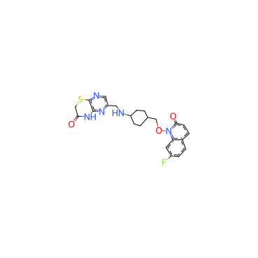 O=C1CSc2ncc(CNC3CCC(COn4c(=O)ccc5ccc(F)cc54)CC3)nc2N1